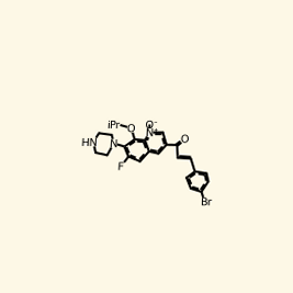 CC(C)Oc1c(N2CCNCC2)c(F)cc2cc(C(=O)C=Cc3ccc(Br)cc3)c[n+]([O-])c12